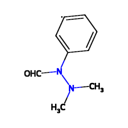 CN(C)N(C=O)c1c[c]ccc1